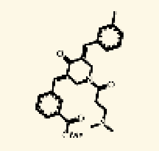 COC(=O)c1cccc(/C=C2\CN(C(=O)CCN(C)C)C/C(=C\c3cccc(C)c3)C2=O)c1